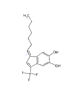 CCCCCC/C=C1/C=C(C(F)(F)F)c2cc(O)c(O)cc21